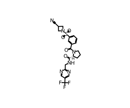 N#CC1CN(S(=O)(=O)c2cccc(C(=O)N3CCC[C@@H]3C(=O)NCc3ncc(C(F)(F)F)cn3)c2)C1